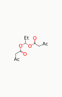 CCC(OC(=O)CC(C)=O)OC(=O)CC(C)=O